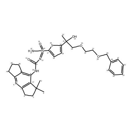 CC1(C)CCc2nc3c(c(NC(=O)N=S(N)(=O)c4ccc(C(C)(O)COCCOCc5ccccc5)s4)c21)CCC3